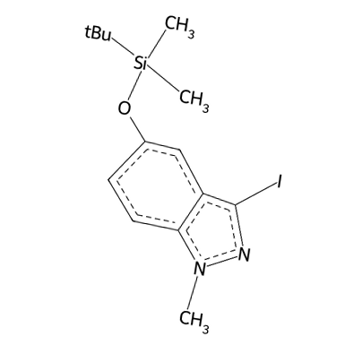 Cn1nc(I)c2cc(O[Si](C)(C)C(C)(C)C)ccc21